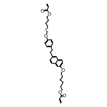 C=CC(=O)OCCCCCCOc1ccc(CCc2ccc3cc(OCCCCCCOC(=O)C=C)ccc3c2)cc1